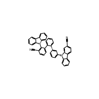 N#Cc1ccc2c3ccccc3n(-c3cccc(-c4ccccc4-c4cccc(C#N)c4-n4c5ccccc5c5ccccc54)c3)c2c1